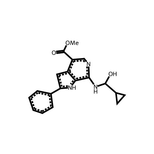 COC(=O)c1cnc(NC(O)C2CC2)c2[nH]c(-c3ccccc3)cc12